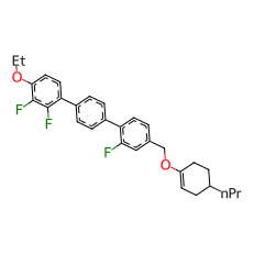 CCCC1CC=C(OCc2ccc(-c3ccc(-c4ccc(OCC)c(F)c4F)cc3)c(F)c2)CC1